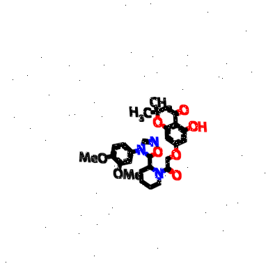 COc1ccc(N2C=NOC2C2CCCCN2C(=O)COc2cc(O)c3c(c2)OC(C)(C)CC3=O)cc1OC